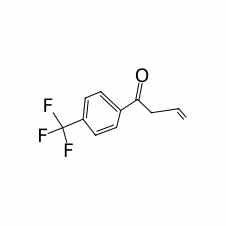 C=CCC(=O)c1ccc(C(F)(F)F)cc1